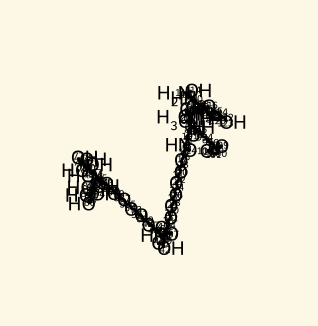 CC(C)[C@H](NC(=O)[C@H](CCCCNC(=O)CCOCCOCCOCCOCCOCCOCCCC(=O)[C@H](CC(=O)O)NC(=O)CCOCCOCCOCCOCCOCCOCCN(C[C@H](O)[C@@H](O)[C@H](O)[C@H](O)CO)C[C@H](O)[C@@H](O)[C@H](O)[C@H](O)CO)NC(=O)CCCCCN1C(=O)C=CC1=O)C(=O)N[C@@H](CCCNC(N)O)C(=O)Nc1ccc(CO)cc1